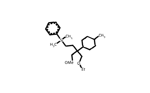 CCOCC(CC[Si](C)(C)c1ccccc1)(COC)C1CCC(C)CC1